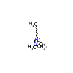 CCCCCCCC[n+]1ccn(C(C)C)c1CC